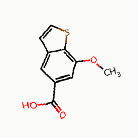 COc1cc(C(=O)O)cc2ccsc12